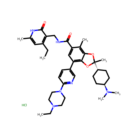 CCc1cc(C)[nH]c(=O)c1CNC(=O)c1cc(-c2ccc(N3CCN(CC)CC3)nc2)c2c(c1C)OC(C)([C@H]1CC[C@H](N(C)C)CC1)O2.Cl